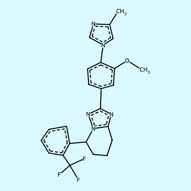 COc1cc(-c2nc3n(n2)C(c2ccccc2C(F)(F)F)CCC3)ccc1-n1cnc(C)c1